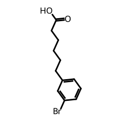 O=C(O)CCCCCc1cccc(Br)c1